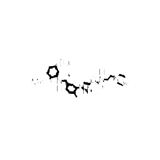 COc1ccc(C(C)(C)C)cc1NC(=O)c1ccc(C)c(-n2cc(OC(=O)NCCN3CCOCC3)nn2)c1